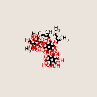 CCCCC(CC)COC(=O)c1c(C(=O)O)c(C(=O)OC(=O)c2c(C(=O)O)c(C(=O)O)c(C(=O)O)c(C(=O)O)c2C(=O)O)c(C(=O)OC(=O)c2c(C(=O)O)c(C(=O)O)c(C(=O)O)c(C(=O)O)c2C(=O)O)c(C(=O)OCC(CC)CCCC)c1C(=O)OCC(CC)CCCC